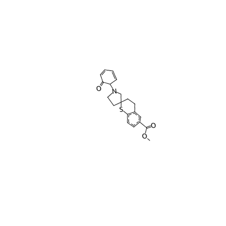 COC(=O)c1ccc2c(c1)CCC1(CCN(C3C=CC=CC3=O)C1)S2